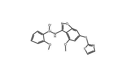 COc1ccccc1[S+]([O-])Nc1noc2cc(Sc3nccs3)cc(OC)c12